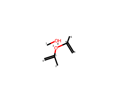 C=C(C)OC(=C)C.CO